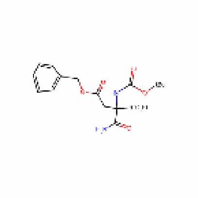 CCOC(=O)C(CC(=O)OCc1ccccc1)(NC(=O)OC(C)(C)C)C(N)=O